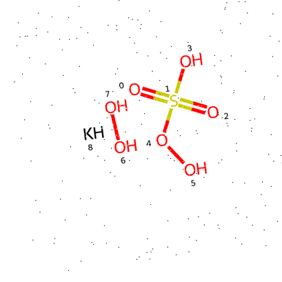 O=S(=O)(O)OO.OO.[KH]